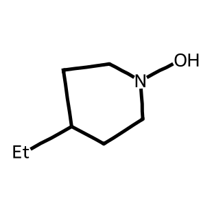 CCC1CCN(O)CC1